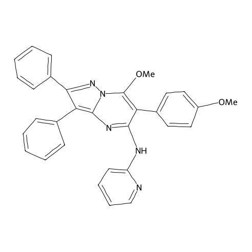 COc1ccc(-c2c(Nc3ccccn3)nc3c(-c4ccccc4)c(-c4ccccc4)nn3c2OC)cc1